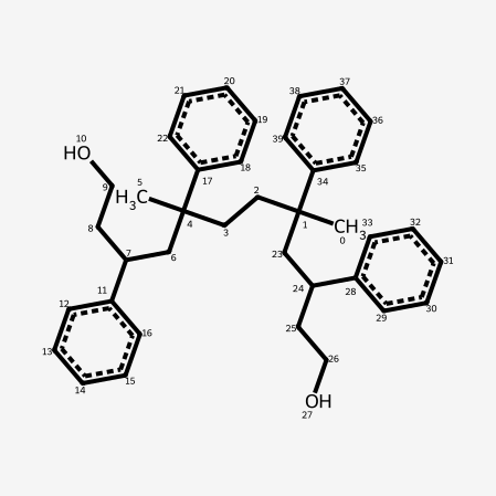 CC(CCC(C)(CC(CCO)c1ccccc1)c1ccccc1)(CC(CCO)c1ccccc1)c1ccccc1